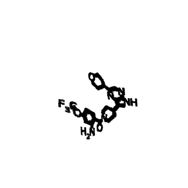 Nc1cc(OC(F)(F)F)ccc1C(=O)N1CCC(c2c[nH]c3ncc(C4CCOCC4)nc23)CC1